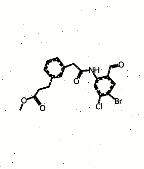 COC(=O)CCc1cccc(CC(=O)Nc2cc(Cl)c(Br)cc2C=O)c1